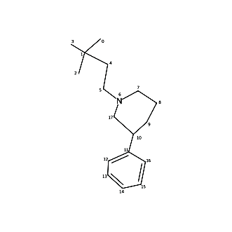 CC(C)(C)CCN1CCCC(c2ccccc2)C1